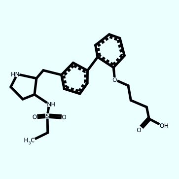 CCS(=O)(=O)NC1CCNC1Cc1cccc(-c2ccccc2OCCCC(=O)O)c1